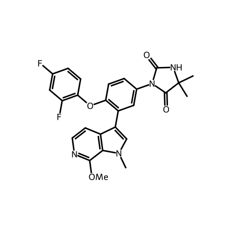 COc1nccc2c(-c3cc(N4C(=O)NC(C)(C)C4=O)ccc3Oc3ccc(F)cc3F)cn(C)c12